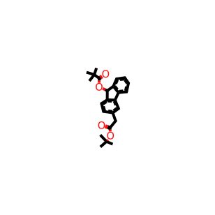 CC(C)(C)OC(=O)Cc1ccc2c(c1)-c1ccccc1C2OC(=O)C(C)(C)C